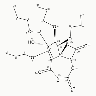 CCCOC[C@]1(O)C(OCCC)=C2C(=O)NC(=N)ON3C(=O)C[C@]23[C@H](OCCC)[C@@H]1OCCC